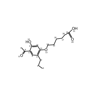 CCCc1cc(C(C)=O)c(O)cc1OCCCCCC(=O)O